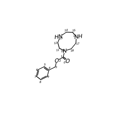 O=C(OCc1ccccc1)N1CCNCCNCC1